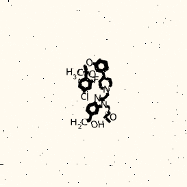 C=C(O)c1ccc2nc(CN3CCC(c4cccc5c4O[C@](C)(c4ccc(Cl)cc4F)CO5)CC3)n(C[C@@H]3CCO3)c2c1